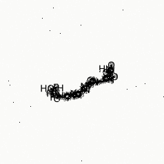 Cn1c(=O)n(C2CCC(=O)NC2=O)c2ccc(CCCN3CCOC4(C3)CN(c3ncc(-c5ccc6cn([C@H]7CC[C@H](CNC(=O)c8cc(F)c(O)c(F)c8F)CC7)nc6c5)cn3)C4)cc21